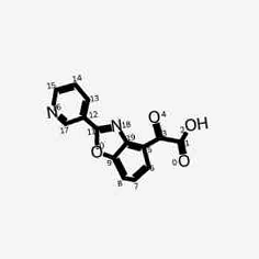 O=C(O)C(=O)c1cccc2oc(-c3cccnc3)nc12